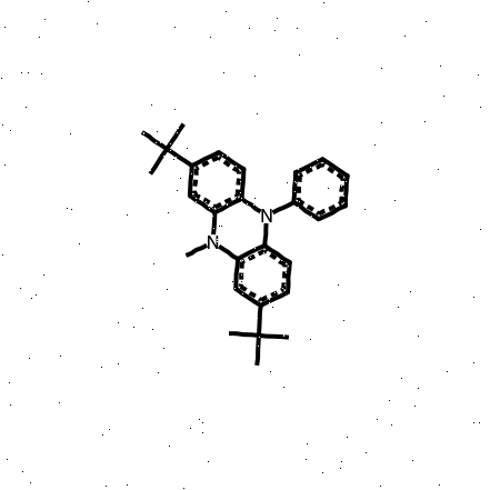 CN1c2cc(C(C)(C)C)ccc2N(c2ccccc2)c2ccc(C(C)(C)C)cc21